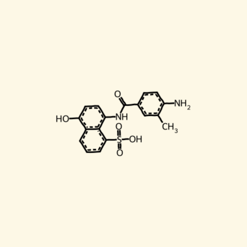 Cc1cc(C(=O)Nc2ccc(O)c3cccc(S(=O)(=O)O)c23)ccc1N